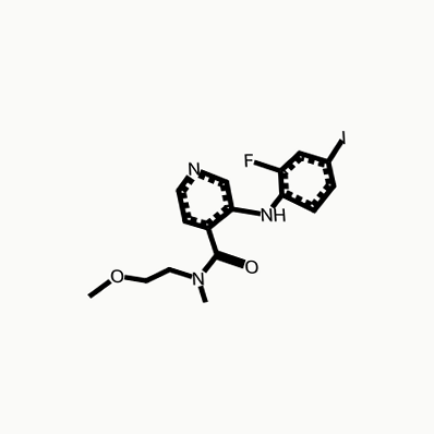 COCCN(C)C(=O)c1ccncc1Nc1ccc(I)cc1F